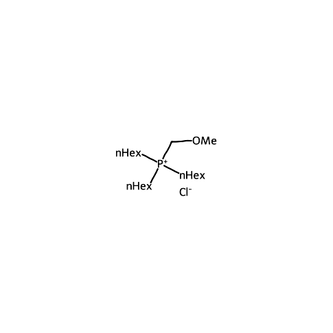 CCCCCC[P+](CCCCCC)(CCCCCC)COC.[Cl-]